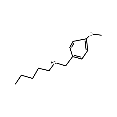 CCCCCNCc1ccc(OC)cc1